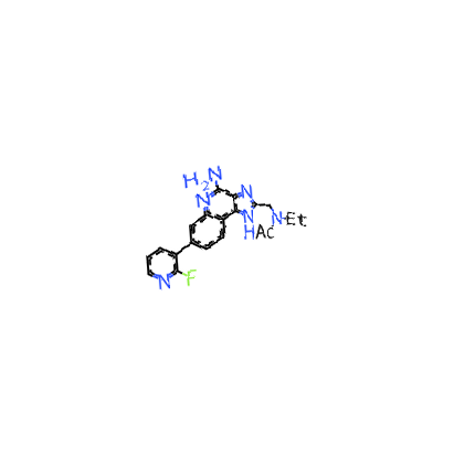 CCN(Cc1nc2c(N)nc3cc(-c4cccnc4F)ccc3c2[nH]1)C(C)=O